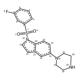 O=S(=O)(c1cccc(F)c1)n1ccc2cc(N3CCNCC3)ccc21